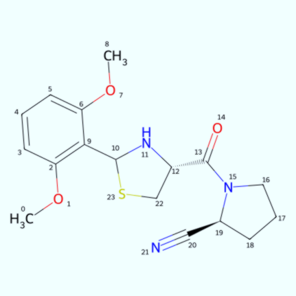 COc1cccc(OC)c1C1N[C@H](C(=O)N2CCC[C@H]2C#N)CS1